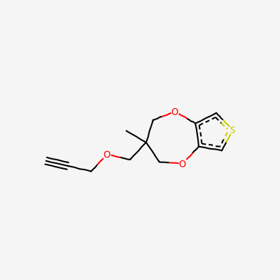 C#CCOCC1(C)COc2cscc2OC1